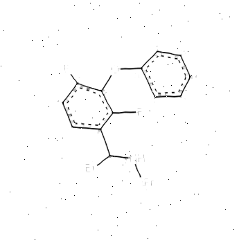 CCC(NC(C)C)c1ccc(F)c(Oc2ccccc2)c1F